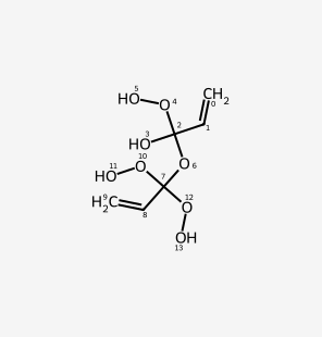 C=CC(O)(OO)OC(C=C)(OO)OO